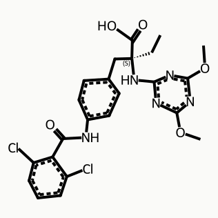 CC[C@@](Cc1ccc(NC(=O)c2c(Cl)cccc2Cl)cc1)(Nc1nc(OC)nc(OC)n1)C(=O)O